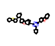 c1ccc(-c2nc(-c3ccc4c(c3)oc3ccccc34)nc(-c3ccc4c(c3)oc3ccc(-c5ccccc5-c5cccc6c5sc5ccccc56)cc34)n2)cc1